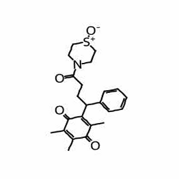 CC1=C(C)C(=O)C(C(CCC(=O)N2CC[S+]([O-])CC2)c2ccccc2)=C(C)C1=O